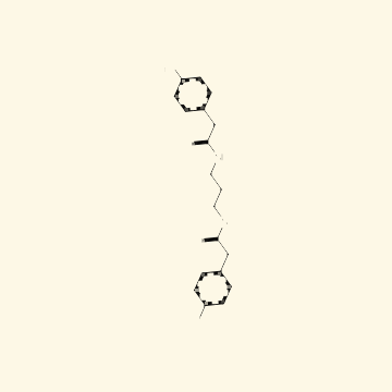 Cc1ccc(CC(=O)NCCCNC(=O)Cc2ccc(C)cc2)cc1